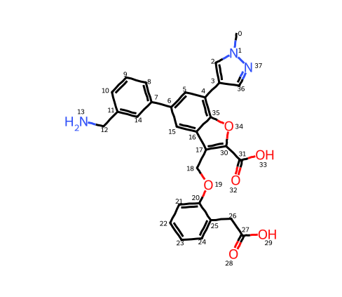 Cn1cc(-c2cc(-c3cccc(CN)c3)cc3c(COc4ccccc4CC(=O)O)c(C(=O)O)oc23)cn1